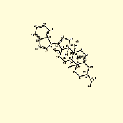 CO[C@H]1CC[C@@]2(C)C(=CC[C@@H]3[C@@H]2CC[C@]2(C)C(n4cnc5ccccc54)=CC[C@@H]32)C1